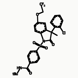 CC(C)(C)NC(=O)c1ccc(S(=O)(=O)N2C(=O)C(C)(c3ccccc3Cl)c3cc(OCC(F)(F)F)ccc32)cc1